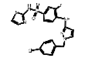 O=S(=O)(Nc1nccs1)c1ccc(Nc2ccn(Cc3ccc(Cl)cc3)n2)c(F)c1